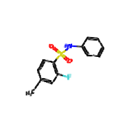 Cc1ccc(S(=O)(=O)Nc2ccccc2)c(F)c1